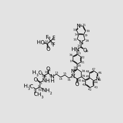 CC(C)[C@H](N)C(=O)N[C@@H](C)C(=O)NCCCCN1N=C(c2ccc(NC(=O)N3Cc4ccncc4C3)cc2)CC(c2cccc3ncccc23)C1=O.O=C(O)C(F)(F)F